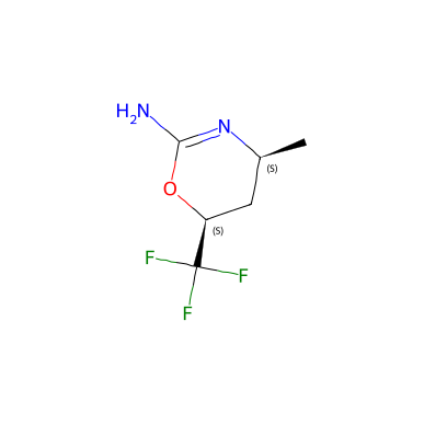 C[C@H]1C[C@@H](C(F)(F)F)OC(N)=N1